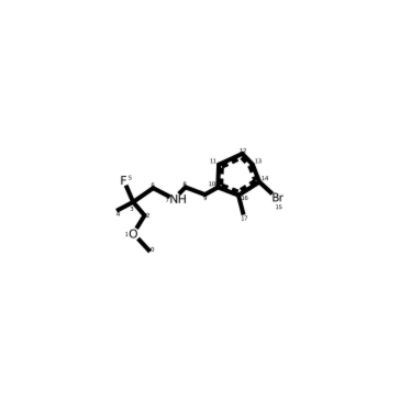 COCC(C)(F)CNCCc1cccc(Br)c1C